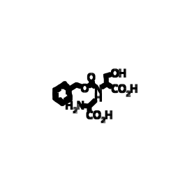 CC(N)C(=O)O.O=C(NC(CO)C(=O)O)OCc1ccccc1